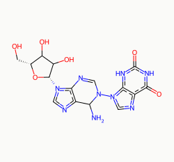 NC1c2ncn([C@@H]3O[C@H](CO)C(O)C3O)c2N=CN1n1cnc2c(=O)[nH]c(=O)[nH]c21